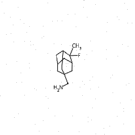 CC1(F)C2CC3CC1CC(CN)(C3)C2